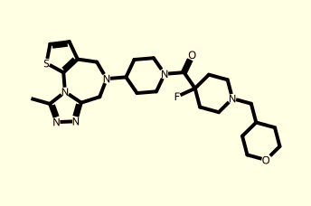 Cc1nnc2n1-c1sccc1CN(C1CCN(C(=O)C3(F)CCN(CC4CCOCC4)CC3)CC1)C2